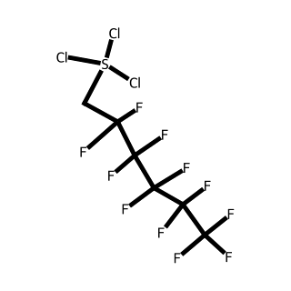 FC(F)(F)C(F)(F)C(F)(F)C(F)(F)C(F)(F)CS(Cl)(Cl)Cl